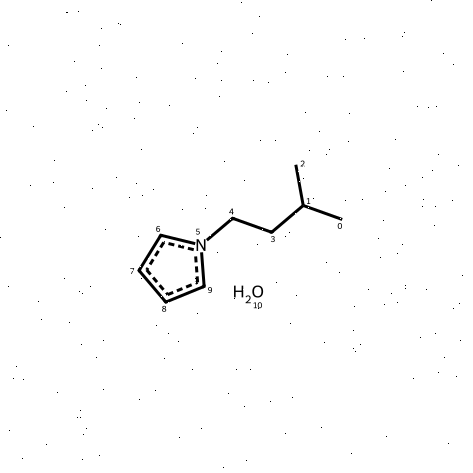 CC(C)CCn1cccc1.O